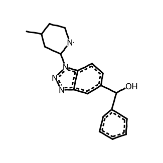 CC1CC[N]C(n2nnc3cc(C(O)c4ccccc4)ccc32)C1